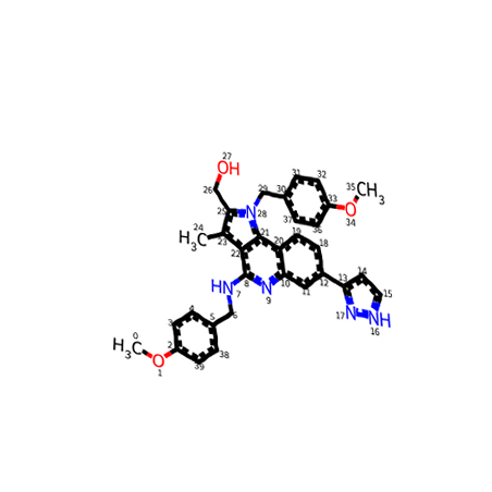 COc1ccc(CNc2nc3cc(-c4cc[nH]n4)ccc3c3c2c(C)c(CO)n3Cc2ccc(OC)cc2)cc1